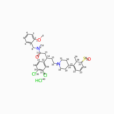 COc1ccccc1CN(C)C(=O)CC(CCN1CCC(C2=CC=CC(=S=O)C2C)CC1)c1ccc(Cl)c(Cl)c1.Cl